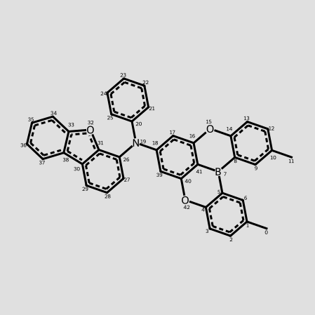 Cc1ccc2c(c1)B1c3cc(C)ccc3Oc3cc(N(c4ccccc4)c4cccc5c4oc4ccccc45)cc(c31)O2